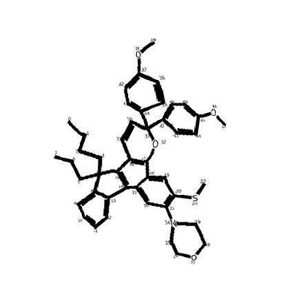 CCCCC1(CCC)c2ccccc2-c2c1c1c(c3cc(SC)c(N4CCOCC4)cc23)OC(c2ccc(OC)cc2)(c2ccc(OC)cc2)C=C1